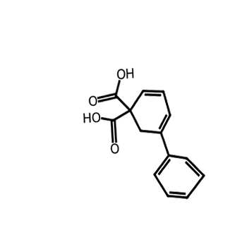 O=C(O)C1(C(=O)O)C=CC=C(c2ccccc2)C1